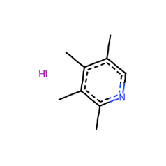 Cc1cnc(C)c(C)c1C.I